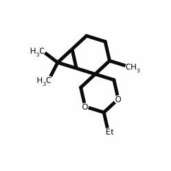 CCC1OCC2(CO1)C(C)CCC1C2C1(C)C